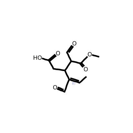 C/C=C(/C=O)C(CC(=O)O)C(C=O)C(=O)OC